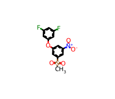 CS(=O)(=O)c1cc(Oc2cc(F)cc(F)c2)cc([N+](=O)[O-])c1